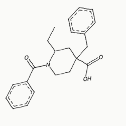 CCC1CC(Cc2ccccc2)(C(=O)O)CCN1C(=O)c1ccccc1